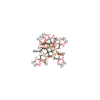 CCO[Si](CS(S)(SS)C(CCC(C)CC)C(C)(C(S(S)(C[Si](OCC)(OCC)OCC)SS)(S(S)(C[Si](OCC)(OCC)OCC)SS)S(S)(C[Si](OCC)(OCC)OCC)SS)S(S)(C[Si](OCC)(OCC)OCC)SS)(OCC)OCC